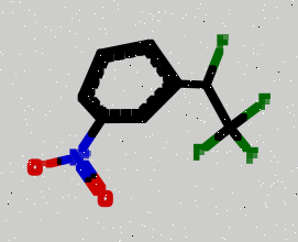 O=[N+]([O-])c1cccc(C(F)C(F)(F)F)c1